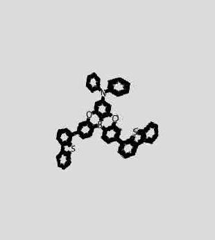 c1ccc(N(c2ccccc2)c2cc3c4c(c2)Oc2cc(-c5cccc6c5sc5ccccc56)ccc2B4c2ccc(-c4cccc5c4sc4ccccc45)cc2O3)cc1